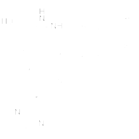 CC1Cc2cc(-c3cncnc3)ccc2C(c2ccc3ccccc3c2)NN1